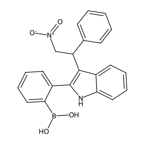 O=[N+]([O-])CC(c1ccccc1)c1c(-c2ccccc2B(O)O)[nH]c2ccccc12